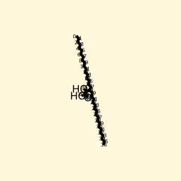 CCCCCCCCCCCCCCCCCCC(CCCCCCCCCCCCCCCCCC)C(O)C(=O)O